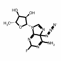 C[C@H]1O[C@@H](N2C=NC3(N=[N+]=[N-])C(N)=NC(F)N=C23)[C@H](O)[C@@H]1O